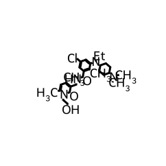 CCN(c1cc(Cl)cc(C(=O)NCc2c(C)cc(C)n(CCO)c2=O)c1C)[C@H]1CC[C@H](N(C)C)CC1